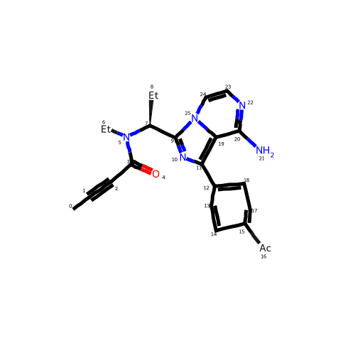 CC#CC(=O)N(CC)[C@@H](CC)c1nc(-c2ccc(C(C)=O)cc2)c2c(N)nccn12